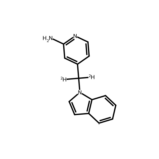 [2H]C([2H])(c1ccnc(N)c1)n1ccc2[c]cccc21